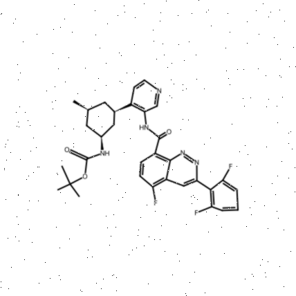 C[C@@H]1C[C@H](NC(=O)OC(C)(C)C)C[C@H](c2ccncc2NC(=O)c2ccc(F)c3cc(-c4c(F)cccc4F)nnc23)C1